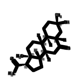 CC(=O)[C@H]1CC[C@H]2[C@@H]3CC(=O)[C@H]4C[C@@](C)(O)CC[C@@H]4[C@H]3CC[C@]12C